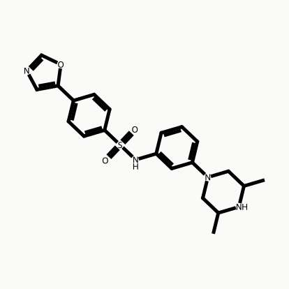 CC1CN(c2cccc(NS(=O)(=O)c3ccc(-c4cnco4)cc3)c2)CC(C)N1